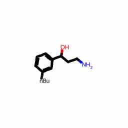 CCCCc1cccc(C(O)CCN)c1